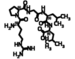 CC(C)C[C@H](NC(=O)[C@H](CC(C)C)NC(=O)CNC(=O)[C@@H]1CCCN1C(=O)[C@@H](N)CCCNC(=N)N)C(=O)O